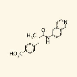 C[C@@H](Cc1ccc(C(=O)O)cc1)C(=O)Nc1ccc2cnccc2c1